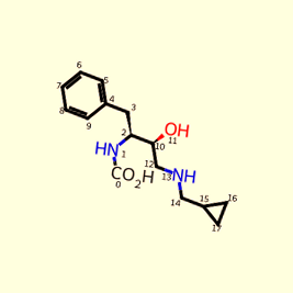 O=C(O)N[C@@H](Cc1ccccc1)[C@@H](O)CNCC1CC1